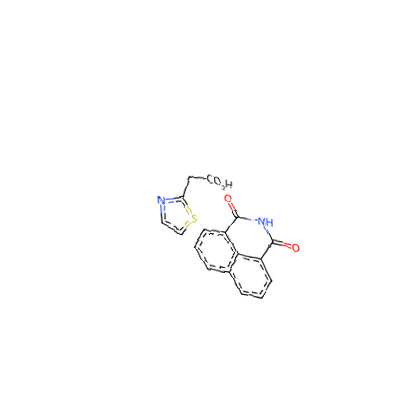 O=C(O)Cc1nccs1.O=C1NC(=O)c2cccc3cccc1c23